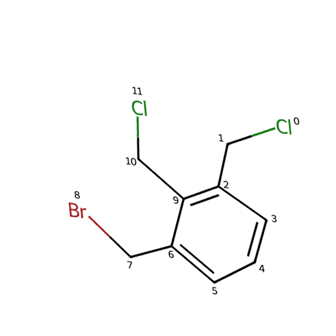 ClCc1cccc(CBr)c1CCl